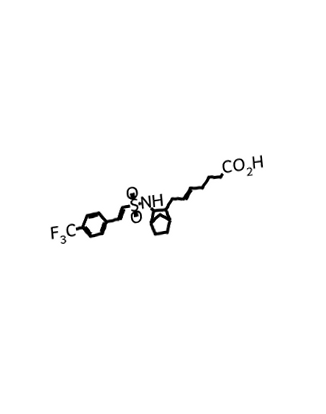 O=C(O)CCCC=CCC1C2CCC(C2)C1NS(=O)(=O)C=Cc1ccc(C(F)(F)F)cc1